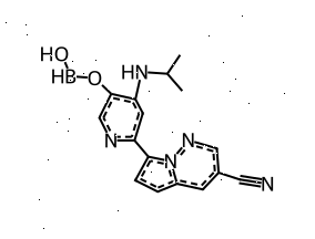 CC(C)Nc1cc(-c2ccc3cc(C#N)cnn23)ncc1OBO